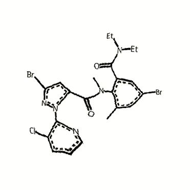 CCN(CC)C(=O)c1cc(Br)cc(C)c1N(C)C(=O)c1cc(Br)nn1-c1ncccc1Cl